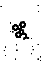 CC(=O)C=NO[Si](c1ccccc1)(c1ccccc1)c1ccccc1